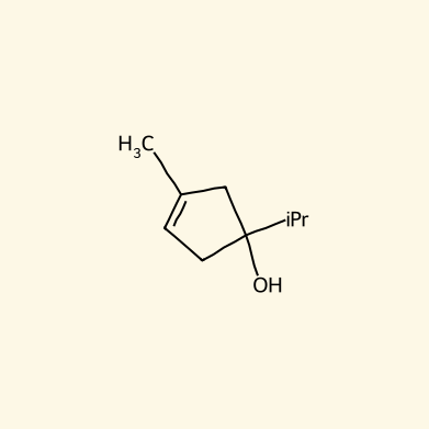 CC1=CCC(O)(C(C)C)C1